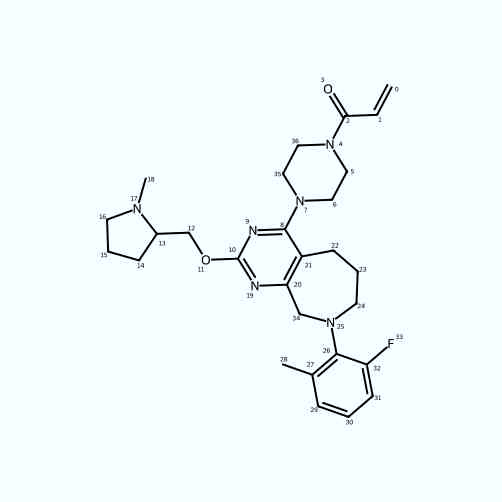 C=CC(=O)N1CCN(c2nc(OCC3CCCN3C)nc3c2CCCN(c2c(C)cccc2F)C3)CC1